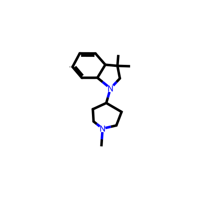 CN1CCC(N2CC(C)(C)C3C=C[C]=CC32)CC1